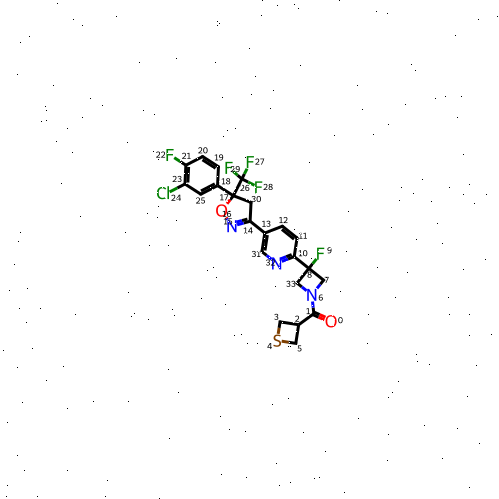 O=C(C1CSC1)N1CC(F)(c2ccc(C3=NOC(c4ccc(F)c(Cl)c4)(C(F)(F)F)C3)cn2)C1